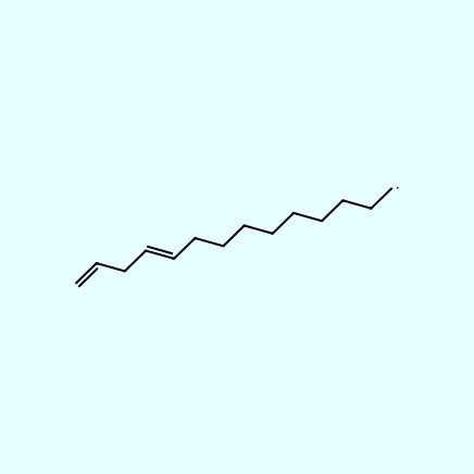 [CH2]CCCCCCCCC=CCC=C